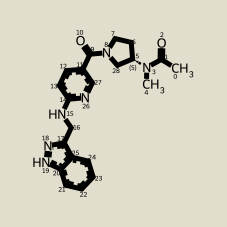 CC(=O)N(C)[C@H]1CCN(C(=O)c2ccc(NCc3n[nH]c4ccccc34)nc2)C1